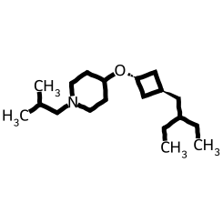 CCC(CC)C[C@H]1C[C@H](OC2CCN(CC(C)C)CC2)C1